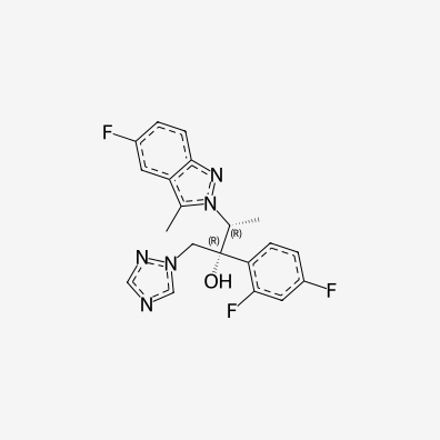 Cc1c2cc(F)ccc2nn1[C@H](C)[C@](O)(Cn1cncn1)c1ccc(F)cc1F